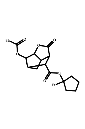 CCC(=O)OC1C2CC3C1OC(=O)C3C2C(=O)OC1(CC)CCCC1